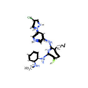 N#Cc1cc(F)c(N[C@@H]2CCCC[C@@H]2NC(=O)O)nc1Nc1cncc(-n2cc(Cl)cn2)c1